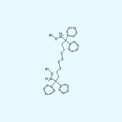 CC(C)O[SiH2]C(CCSSSSCCC([SiH2]OC(C)C)(c1ccccc1)c1ccccc1)(c1ccccc1)c1ccccc1